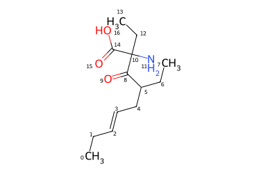 CCC=CCC(CC)C(=O)C(N)(CC)C(=O)O